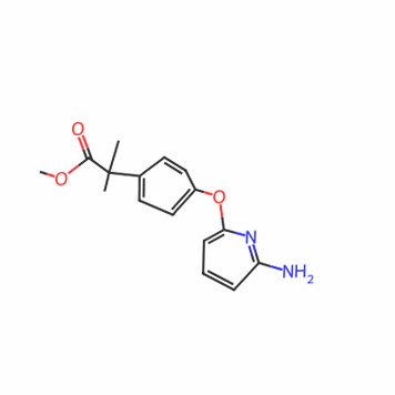 COC(=O)C(C)(C)c1ccc(Oc2cccc(N)n2)cc1